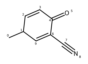 CC1C=CC(=O)C(C#N)=C1